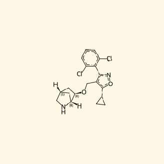 Clc1cccc(Cl)c1-c1noc(C2CC2)c1CO[C@@H]1C[C@H]2CN[C@@H]1C2